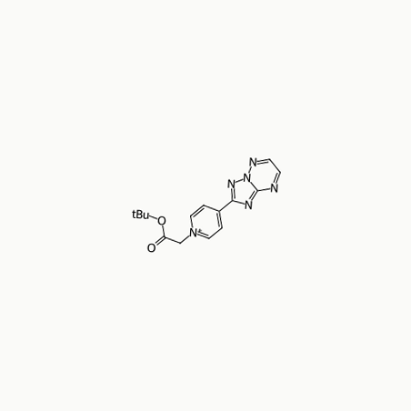 CC(C)(C)OC(=O)C[n+]1ccc(-c2nc3nccnn3n2)cc1